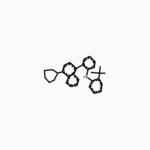 CC(C)(C)c1ccccc1Nc1ccccc1-c1ccc(C2CCCCC2)c2ccccc12